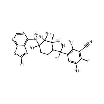 [2H]c1cc(C([2H])([2H])N2CCC([2H])(N([2H])c3ncnc4sc(Cl)nc34)C([2H])([2H])C2([2H])[2H])c([2H])c(C#N)c1F